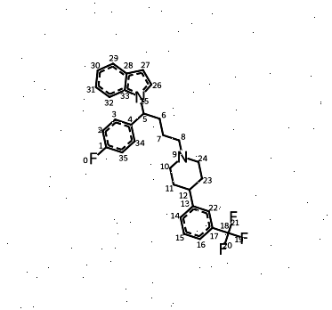 Fc1ccc(C(CCCN2CCC(c3cccc(C(F)(F)F)c3)CC2)n2ccc3ccccc32)cc1